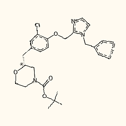 CC(C)(C)OC(=O)N1CCO[C@H](Cc2ccc(OCc3nccn3Cc3ccccc3)c(Cl)c2)C1